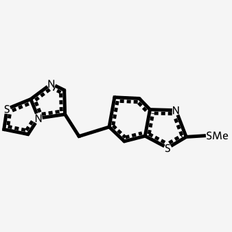 CSc1nc2ccc(Cc3cnc4sccn34)cc2s1